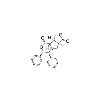 O=C1OC[C@H]2[C@@H]1CN1[C@@H]2C(=O)O[C@H](c2ccccc2)[C@@H]1C1C=CC=CC1